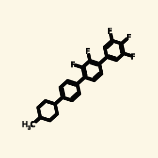 CC1CCC(c2ccc(-c3ccc(-c4cc(F)c(F)c(F)c4)c(F)c3F)cc2)CC1